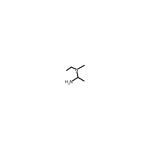 CCN(C)C(C)N